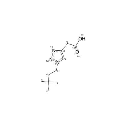 CC(C)(C)CCn1cc(CC(=O)O)nn1